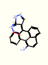 Nc1ccc2cccc(-c3cnnc4[nH]ncc34)c2c1-c1ccccc1